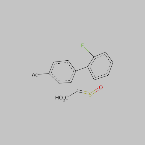 CC(=O)c1ccc(-c2ccccc2F)cc1.O=S=CC(=O)O